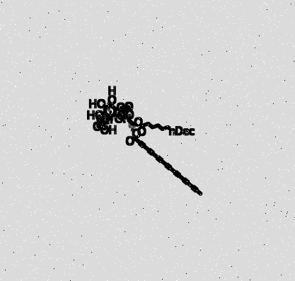 CC#CC#CC#CC#CC#CC#CC#CC(=O)OC[C@H](COP(=O)(O)OC1C(O)[C@@H](CP(=O)(O)O)C(O)[C@@H](O)[C@H]1O)OC(=O)CCCCCCCCCCCCCCC